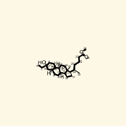 CC[C@]1(O)CC[C@@]2(C)[C@@H](CC[C@@H]3[C@@H]2CC[C@]2(C)[C@@H]([C@H](C)CCCC(=O)OC)CC[C@@H]32)C1